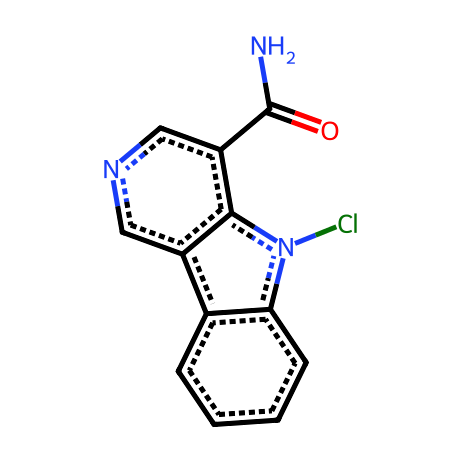 NC(=O)c1cncc2c3ccccc3n(Cl)c12